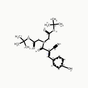 CC(C)(C)OC(=O)CN(CC(=O)OC(C)(C)C)C(=O)/C(C#N)=C/c1ccc(O)cc1